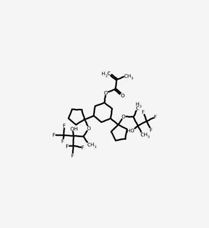 C=C(C)C(=O)OC1CC(C2(OC(C)C(C)(O)C(F)(F)F)CCCC2)CC(C2(OC(C)C(O)(C(F)(F)F)C(F)(F)F)CCCC2)C1